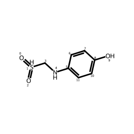 O=[SH](=O)CNc1c[c]c(O)cc1